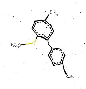 Cc1ccc(-c2cc(C)ccc2SS(=O)(=O)O)cc1